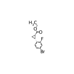 CCOC(=O)[C@@H]1C[C@H]1c1ccc(Br)cc1F